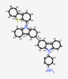 Nc1ccc(-n2c3ccccc3c3cc(-c4ccc5c(c4)c4ccccc4n5-c4cccc5c4sc4ccccc45)ccc32)cc1